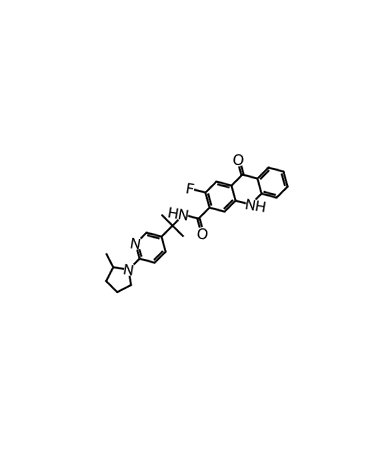 CC1CCCN1c1ccc(C(C)(C)NC(=O)c2cc3[nH]c4ccccc4c(=O)c3cc2F)cn1